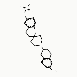 CS(=O)(=O)Nc1ccc2c(c1)CCC1(CCN(C3CCc4cc(C#N)ccc4C3)CC1)O2.Cl